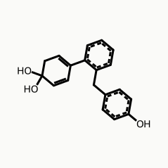 Oc1ccc(Cc2ccccc2C2=CCC(O)(O)C=C2)cc1